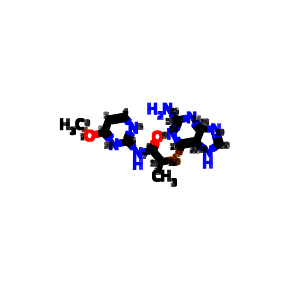 COc1ccnc(NC(=O)[C@H](C)Sc2nc(N)nc3nc[nH]c23)n1